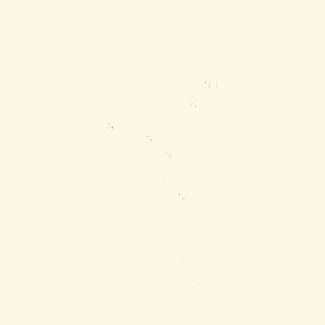 CCc1cc(-c2cnc3ccc(NC45CCC(O)(CC4)C5)nn23)n[nH]1